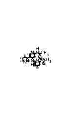 CC(=O)Nc1cc(Nc2cccc(S(C)(=O)=O)n2)c(-c2cccnn2)cn1